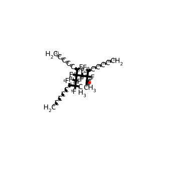 C=C=C=C=C=C(F)C(C)(F)C(F)(F)C(F)(C(F)=C=C=C=C=C)C(F)(F)C(F)(C(F)=C=C=C=C=C)C(C)(F)F